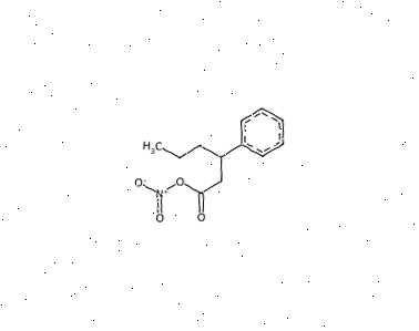 CCCC(CC(=O)O[N+](=O)[O-])c1ccccc1